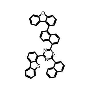 c1ccc2c(-c3nc(-c4cccc5c(-c6cccc7oc8ccccc8c67)cccc45)nc(-c4cccc5c4sc4ccccc45)n3)cccc2c1